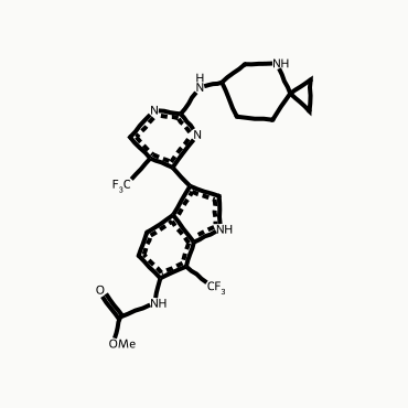 COC(=O)Nc1ccc2c(-c3nc(NC4CCC5(CC5)NC4)ncc3C(F)(F)F)c[nH]c2c1C(F)(F)F